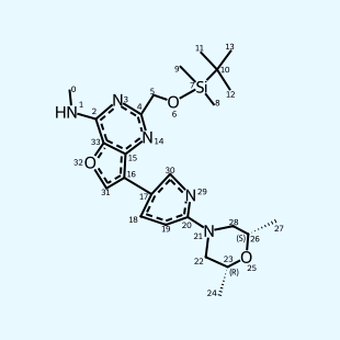 CNc1nc(CO[Si](C)(C)C(C)(C)C)nc2c(-c3ccc(N4C[C@@H](C)O[C@@H](C)C4)nc3)coc12